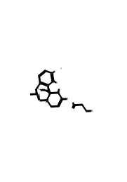 CN1CCC23c4c5ccc(O)c4OC2C(OC(=O)CCC(=O)O)=CC[C@@]3(O)[C@H]1C5